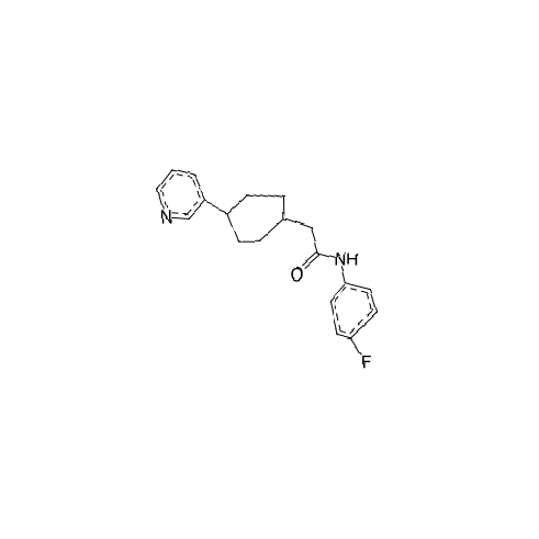 O=C(CC1CCC(c2cccnc2)CC1)Nc1ccc(F)cc1